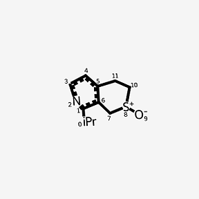 CC(C)c1nccc2c1C[S+]([O-])CC2